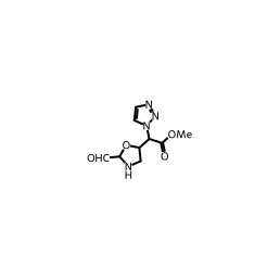 COC(=O)C(C1CNC(C=O)O1)n1ccnn1